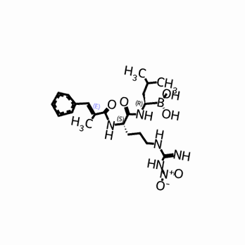 C/C(=C\c1ccccc1)C(=O)N[C@@H](CCCNC(=N)N[N+](=O)[O-])C(=O)N[C@@H](CC(C)C)B(O)O